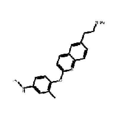 CC(=O)NCCc1ccc2nc(Oc3ccc(NC(C)C)cc3C)ccc2c1